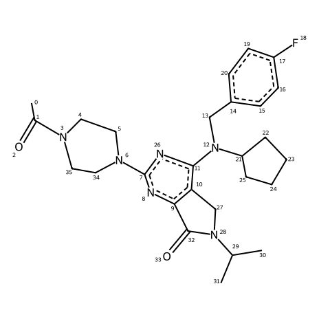 CC(=O)N1CCN(c2nc3c(c(N(Cc4ccc(F)cc4)C4CCCC4)n2)CN(C(C)C)C3=O)CC1